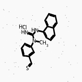 CN(C(=N)Nc1cccc2ccccc12)c1cccc(C=S)c1.Cl